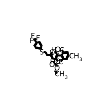 CCOC(=O)Oc1cc(CCSc2ccc(C(F)(F)F)cc2)oc(=O)c1-c1c(C)cc(C)cc1C